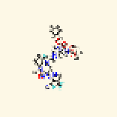 Cc1cc(C(F)(F)F)c(C#N)c(N[C@H]2CCN(CCN3CCN(C(=O)OCc4ccccc4)C4(C3)CN(C(=O)OC(C)(C)C)C4)c3c(F)cccc3N(C)C2=O)n1